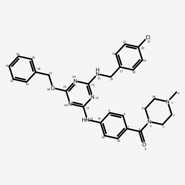 CN1CCN(C(=O)c2ccc(Nc3nc(NCc4ccc(Cl)cc4)nc(OCc4ccccc4)n3)cc2)CC1